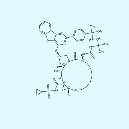 CC(C)(C)NC(=O)N[C@H]1CCCCC/C=C\[C@@H]2C[C@@]2(C(=O)NS(=O)(=O)C2CC2)NC(=O)[C@@H]2C[C@@H](Oc3nc(-c4ccc(C(C)(C)C)cc4)nc4c3oc3ccccc34)CN2C1=O